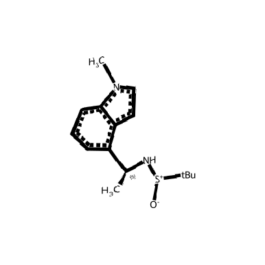 C[C@H](N[S+]([O-])C(C)(C)C)c1cccc2c1ccn2C